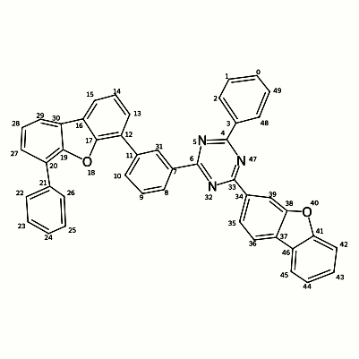 c1ccc(-c2nc(-c3cccc(-c4cccc5c4oc4c(-c6ccccc6)cccc45)c3)nc(-c3ccc4c(c3)oc3ccccc34)n2)cc1